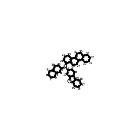 c1ccc2cc(N(c3ccc4c(c3)oc3ccccc34)c3cccc4c3ccc3c5ccccc5ccc43)ccc2c1